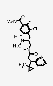 CNC(=O)c1ccc(C[C@@H](CNC(=O)C[C@@H](c2cccnc2)C2(C(F)(F)F)CC2)N(C)C)c(Cl)c1F